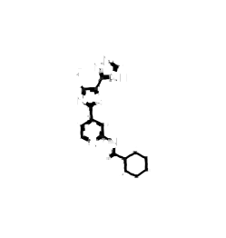 CCOc1nc(-c2ccnc(NC(=O)C3CCCCC3)c2)sc1-c1nnc[nH]1